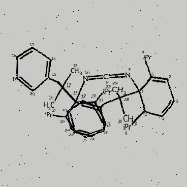 CC(C)C1=CC=CC(C(C)C)C1(N=C=NC1(C(C)(C)c2ccccc2)C(C(C)C)=CC=CC1C(C)C)C(C)(C)c1ccccc1